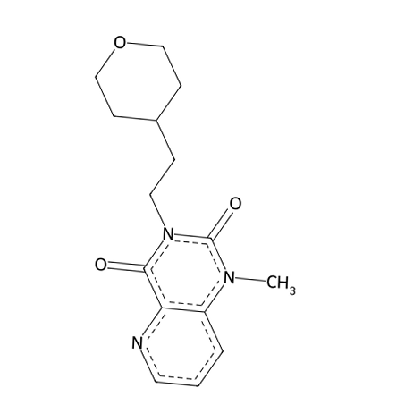 Cn1c(=O)n(CCC2CCOCC2)c(=O)c2ncccc21